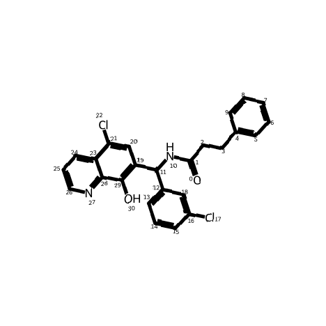 O=C(CCc1ccccc1)NC(c1cccc(Cl)c1)c1cc(Cl)c2cccnc2c1O